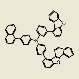 c1cc(-c2cccc3oc4ccccc4c23)cc(N(c2ccc(-c3cccc4ccccc34)cc2)c2ccc(-c3cccc4oc5c6ccccc6ccc5c34)cc2)c1